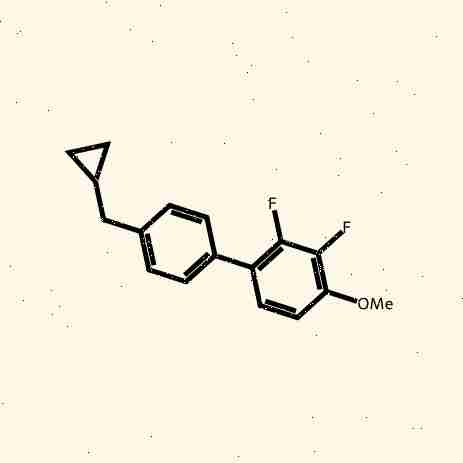 COc1ccc(-c2ccc(CC3CC3)cc2)c(F)c1F